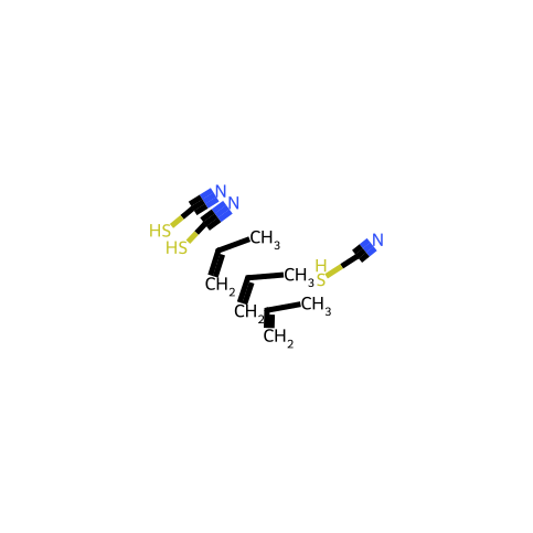 C=CC.C=CC.C=CC.N#CS.N#CS.N#CS